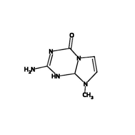 CN1C=CN2C(=O)N=C(N)NC12